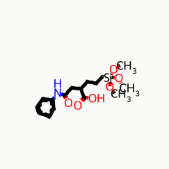 CO[Si](CCCC(CC(=O)Nc1ccccc1)C(=O)O)(OC)OC